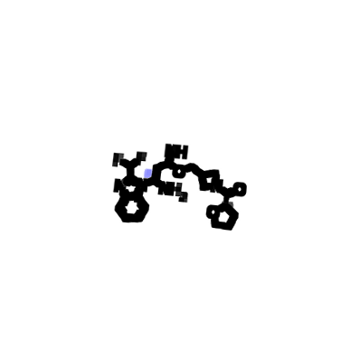 N=C(/C=C(\N)n1c(C(F)F)nc2ccccc21)OCC1CN(C(=O)[C@@H]2CCCO2)C1